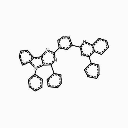 c1ccc(-c2nc(-c3cccc(-c4nc(-c5ccccc5)c5c(n4)c4ccccc4n5-c4ccccc4)c3)nc3ccccc23)cc1